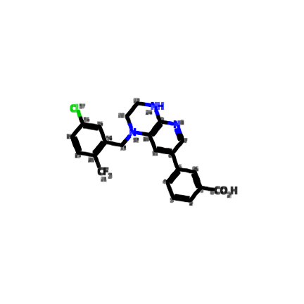 O=C(O)c1cccc(-c2cnc3c(c2)N(Cc2cc(Cl)ccc2C(F)(F)F)CCN3)c1